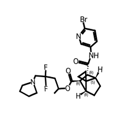 CC(CC(F)(F)CN1CCCC1)OC(=O)[C@H]1[C@H](C(=O)Nc2ccc(Br)nc2)[C@@H]2CC[C@H]1C21CC1